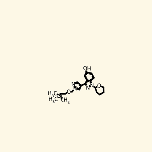 C[Si](C)(C)CCOCn1cc(-c2nn(C3CCCCO3)c3ccc(O)cc23)cn1